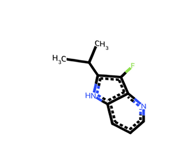 CC(C)c1[nH]c2cccnc2c1F